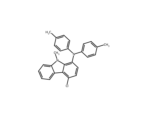 Cc1ccc(N(c2ccc(C)cc2)c2ccc(Cl)c3c4ccccc4n(C)c23)cc1